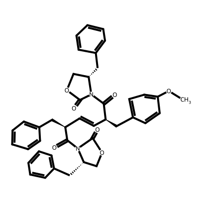 COc1ccc(C[C@@H](/C=C/[C@H](Cc2ccccc2)C(=O)N2C(=O)OC[C@@H]2Cc2ccccc2)C(=O)N2C(=O)OC[C@@H]2Cc2ccccc2)cc1